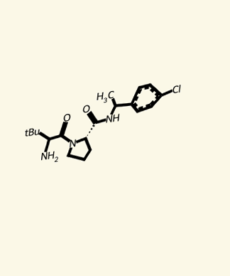 CC(NC(=O)[C@@H]1CCCN1C(=O)C(N)C(C)(C)C)c1ccc(Cl)cc1